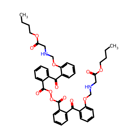 CCCCOC(=O)CNCOc1ccccc1C(=O)c1ccccc1C(=O)OOC(=O)c1ccccc1C(=O)c1ccccc1OCNCC(=O)OCCCC